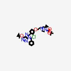 CC(C)(C)OC(=O)N1CCN(CCOc2ccc(-c3nc4c(OC5(C)CC5)ncnc4n3Cc3ccccc3)c(Cl)c2)CC12CC2